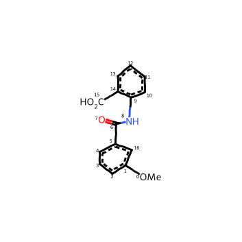 COc1cccc(C(=O)Nc2ccccc2C(=O)O)c1